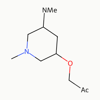 CNC1CC(OCC(C)=O)CN(C)C1